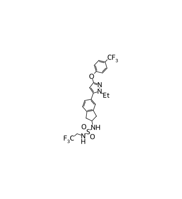 CCn1nc(Oc2ccc(C(F)(F)F)cc2)cc1-c1ccc2c(c1)CC(NS(=O)(=O)NCC(F)(F)F)C2